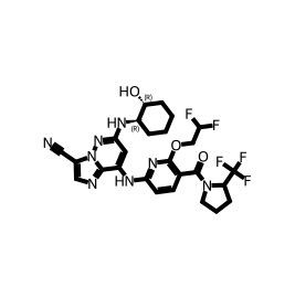 N#Cc1cnc2c(Nc3ccc(C(=O)N4CCCC4C(F)(F)F)c(OCC(F)F)n3)cc(N[C@@H]3CCCC[C@H]3O)nn12